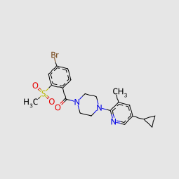 Cc1cc(C2CC2)cnc1N1CCN(C(=O)c2ccc(Br)cc2S(C)(=O)=O)CC1